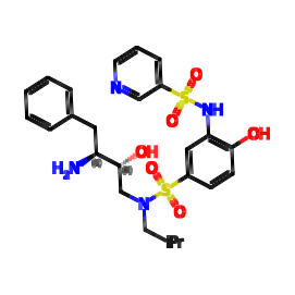 CC(C)CN(C[C@@H](O)[C@@H](N)Cc1ccccc1)S(=O)(=O)c1ccc(O)c(NS(=O)(=O)c2cccnc2)c1